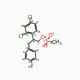 CS(=O)(=O)OCC(Cc1ccc(F)cc1)c1ccc(Cl)cc1Cl